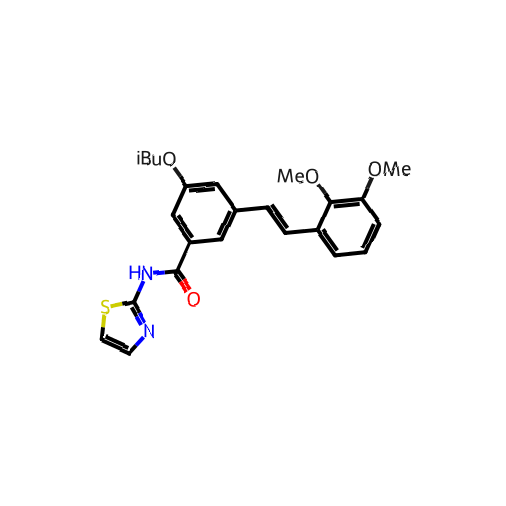 COc1cccc(C=Cc2cc(OCC(C)C)cc(C(=O)Nc3nccs3)c2)c1OC